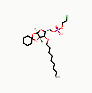 CCCCCCCCCCCCCCCCCCO[C@H]1[C@H]2OC3(CCCCC3)O[C@H]2O[C@@H]1COP(=O)(O)OCCBr